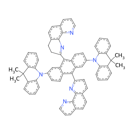 CC1(C)c2ccccc2N(c2ccc3c(-c4ccc5ccc6cccnc6c5n4)c4cc(N5c6ccccc6C(C)(C)c6ccccc65)ccc4c(C4=Nc5c(ccc6cccnc56)CC4)c3c2)c2ccccc21